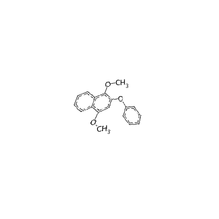 COc1cc(Oc2ccccc2)c(OC)c2ccccc12